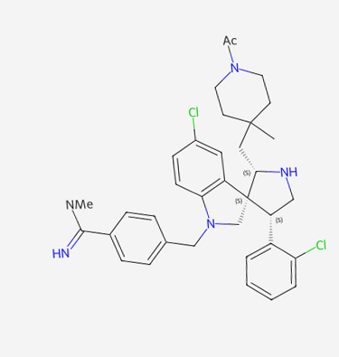 CNC(=N)c1ccc(CN2C[C@]3(c4cc(Cl)ccc42)[C@H](CC2(C)CCN(C(C)=O)CC2)NC[C@@H]3c2ccccc2Cl)cc1